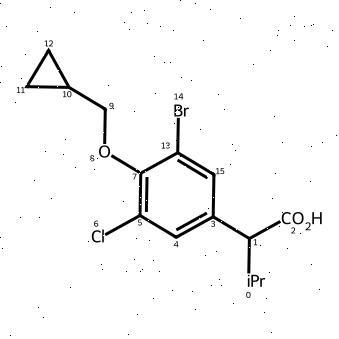 CC(C)C(C(=O)O)c1cc(Cl)c(OCC2CC2)c(Br)c1